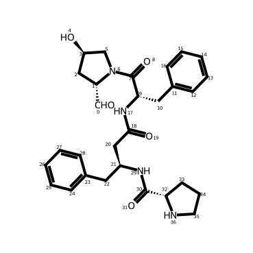 O=C[C@@H]1C[C@@H](O)CN1C(=O)[C@H](Cc1ccccc1)NC(=O)C[C@H](Cc1ccccc1)NC(=O)[C@@H]1CCCN1